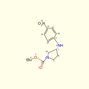 CC(C)(C)OC(=O)N1CC[C@@H](Nc2ccc([N+](=O)[O-])cc2)C1